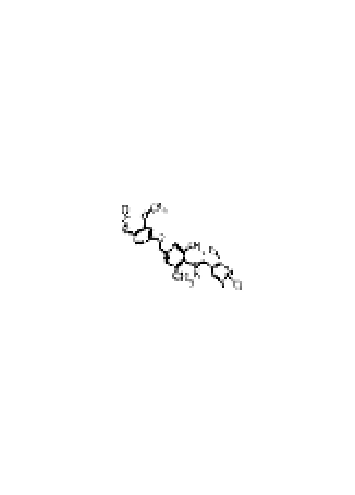 COc1cc(OCc2cc(C)c(NCc3cnc(Cl)nc3Cl)c(C)c2)ccc1N=C=O